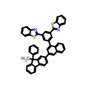 CC1(c2ccccc2)c2ccccc2-c2ccc(-c3cc(-c4cc(-c5nc6ccccc6s5)cc(-c5nc6ccccc6s5)c4)c4ccccc4c3)cc21